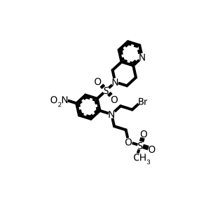 CS(=O)(=O)OCCN(CCBr)c1ccc([N+](=O)[O-])cc1S(=O)(=O)N1CCc2ncccc2C1